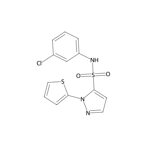 O=S(=O)(Nc1cccc(Cl)c1)c1ccnn1-c1cccs1